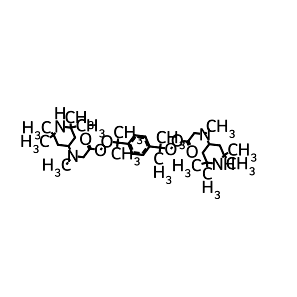 CN(CC(=O)OOC(C)(C)c1ccc(C(C)(C)OOC(=O)CN(C)C2CC(C)(C)NC(C)(C)C2)cc1)C1CC(C)(C)NC(C)(C)C1